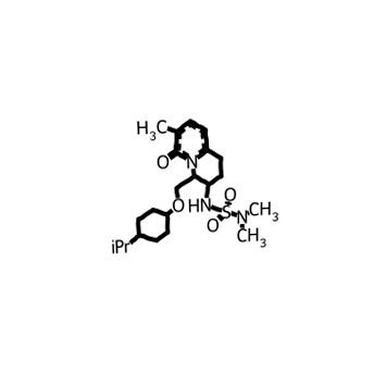 Cc1ccc2n(c1=O)C(COC1CCC(C(C)C)CC1)C(NS(=O)(=O)N(C)C)CC2